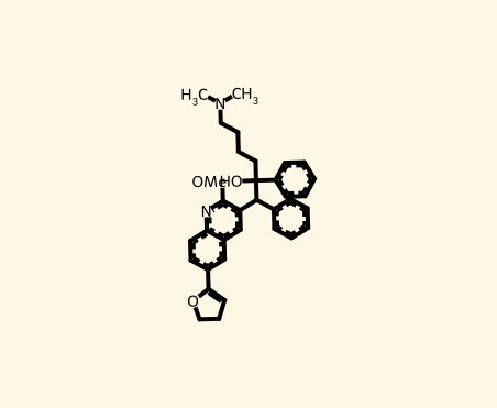 COc1nc2ccc(C3=CCCO3)cc2cc1C(c1ccccc1)C(O)(CCCCN(C)C)c1ccccc1